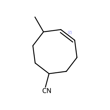 CC1/C=C\CCC(C#N)CC1